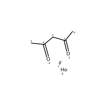 CC(=O)CC(C)=O.[F].[Ho]